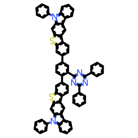 c1ccc(-c2nc(-c3ccccc3)nc(-c3cc(-c4ccc5c(c4)sc4cc6c(cc45)c4ccccc4n6-c4ccccc4)ccc3-c3ccc4c(c3)sc3cc5c(cc34)c3ccccc3n5-c3ccccc3)n2)cc1